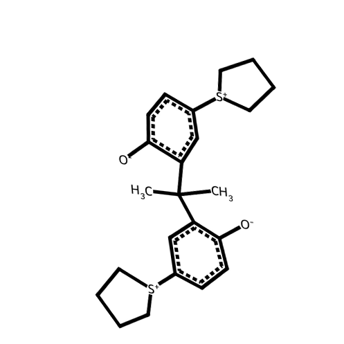 CC(C)(c1cc([S+]2CCCC2)ccc1[O-])c1cc([S+]2CCCC2)ccc1[O-]